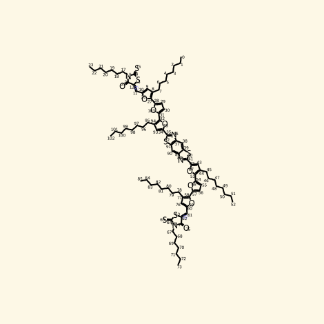 CCCCCCCCc1cc(/C=C2\SC(=S)N(CCCCCCC)C2=O)oc1-c1ccc(-c2oc(-c3nc4cc5sc(-c6cc(CCCCCCCC)c(-c7ccc(-c8oc(/C=C9\SC(=S)N(CCCCCCC)C9=O)cc8CCCCCCCC)o7)o6)nc5cc4s3)cc2CCCCCCCC)o1